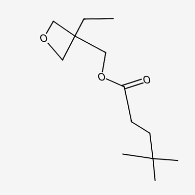 CCC1(COC(=O)CCC(C)(C)C)COC1